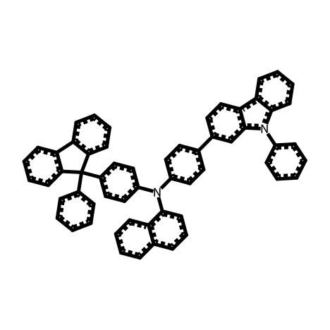 c1ccc(-n2c3ccccc3c3ccc(-c4ccc(N(c5ccc(C6(c7ccccc7)c7ccccc7-c7ccccc76)cc5)c5cccc6ccccc56)cc4)cc32)cc1